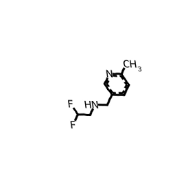 Cc1ccc(CNCC(F)F)cn1